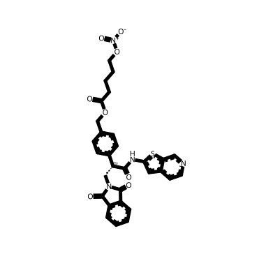 O=C(CCCCO[N+](=O)[O-])OCc1ccc([C@@H](CN2C(=O)c3ccccc3C2=O)C(=O)Nc2cc3ccncc3s2)cc1